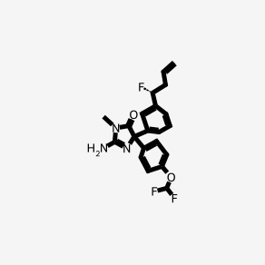 C=CC[C@@H](F)c1cccc(C2(c3ccc(OC(F)F)cc3)N=C(N)N(C)C2=O)c1